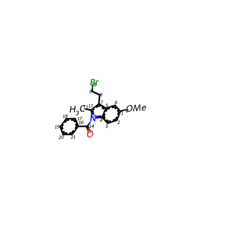 COc1ccc2c(c1)c(CCBr)c(C)n2C(=O)c1ccccc1